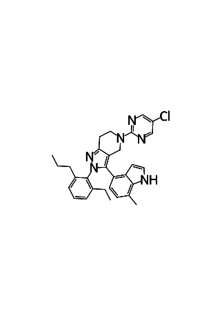 CCCc1cccc(CC)c1-n1nc2c(c1-c1ccc(C)c3[nH]ccc13)CN(c1ncc(Cl)cn1)CC2